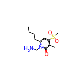 CCCCc1cc(S(C)(=O)=O)c(C)c(=O)n1CN